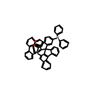 c1ccc(-c2ccccc2N(c2ccccc2)c2cc3ccccc3c3c2C2(c4ccccc4-c4ccc(N(c5ccccc5)c5ccccc5)cc42)c2ccccc2-3)cc1